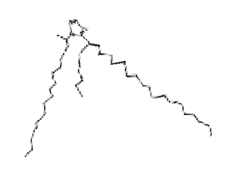 CCCCCCCCCCCCCCCCCCC(CCCCCC)c1nccn1C(C)CCCCCCCCCCCCCC